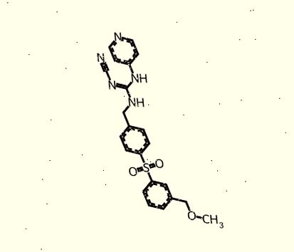 COCc1cccc(S(=O)(=O)c2ccc(CNC(=NC#N)Nc3ccncc3)cc2)c1